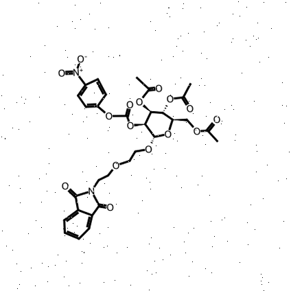 CC(=O)OC[C@H]1O[C@H](OCCOCCN2C(=O)c3ccccc3C2=O)[C@@H](OC(=O)Oc2ccc([N+](=O)[O-])cc2)[C@@H](OC(C)=O)[C@@H]1OC(C)=O